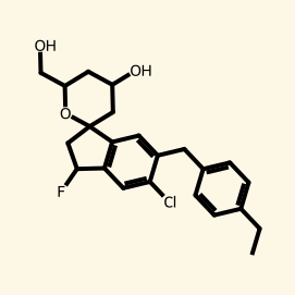 CCc1ccc(Cc2cc3c(cc2Cl)C(F)CC32CC(O)CC(CO)O2)cc1